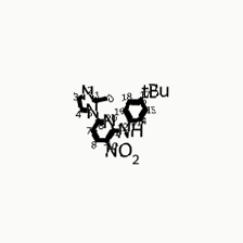 CC1=NCCN1c1ccc([N+](=O)[O-])c(Nc2ccc(C(C)(C)C)cc2)n1